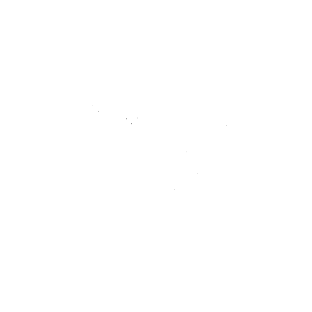 CN1CCN(CCCOc2ccccc2CCc2ccccc2)CC1